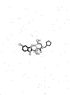 CC(C)(C)[C@H](NC(=O)[C@H](CC1CCCC1)CN(O)C=O)c1nc2cc(Cl)ccc2[nH]1